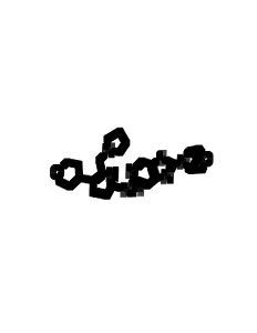 c1cc(C2CCOCC2)c(CN2CCCC2)nc1Nc1cc2nc(N3C4COCC3C4)sc2cn1